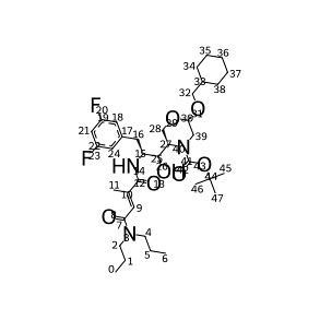 CCCN(CCC)C(=O)/C=C(\C)C(=O)N[C@@H](Cc1cc(F)cc(F)c1)[C@H](O)[C@H]1CO[C@@H](OCC2CCCCC2)CN1C(=O)OC(C)(C)C